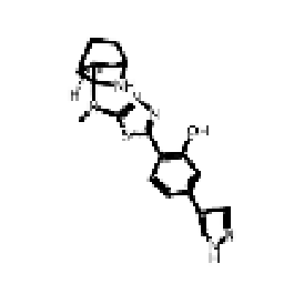 CN(c1nnc(-c2ccc(-c3cn[nH]c3)cc2O)s1)[C@@H]1CC2CCC1CN2